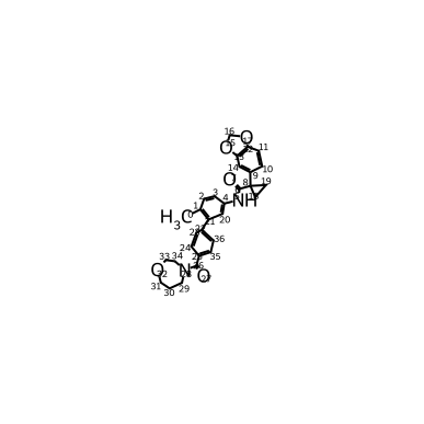 Cc1ccc(NC(=O)C2(c3ccc4c(c3)OCO4)CC2)cc1-c1ccc(C(=O)N2CCCOCC2)cc1